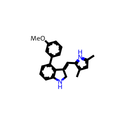 COc1cccc(-c2cccc3c2C(=Cc2[nH]c(C)cc2C)CN3)c1